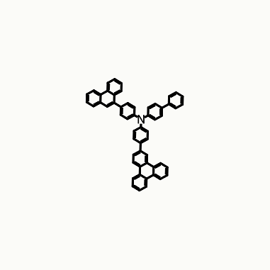 c1ccc(-c2ccc(N(c3ccc(-c4ccc5c6ccccc6c6ccccc6c5c4)cc3)c3ccc(-c4cc5ccccc5c5ccccc45)cc3)cc2)cc1